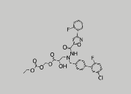 CCOC(=O)OCOC(=O)C(O)CN(Cc1ccc(-c2cc(Cl)ccc2F)cc1)NC(=O)c1cc(-c2ccccc2F)no1